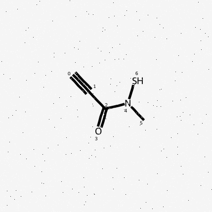 C#CC(=O)N(C)S